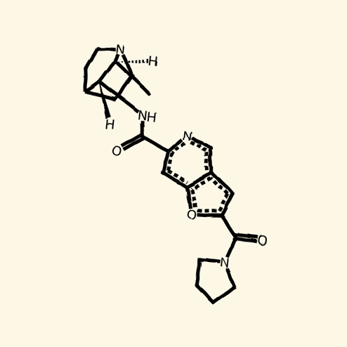 C[C@H]1[C@H](NC(=O)c2cc3oc(C(=O)N4CCCC4)cc3cn2)C2CCN1CC2